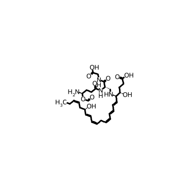 CC/C=C\C[C@H](O)/C=C/C=C\C\C=C/C=C/C=C/[C@@H](NC[C@H](NC(=O)CC[C@H](N)OC=O)C(=O)NCC(=O)O)[C@@H](O)CCC(=O)O